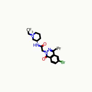 CC(C)c1nn(CC(=O)N[C@H]2CCCN(CC(F)(F)F)C2)c(=O)c2ccc(Br)cc12